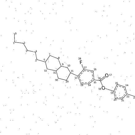 CCCCCCC1CCC2CC(c3ccc(C(=O)Oc4ccc(C)cc4)cc3F)CCC2C1